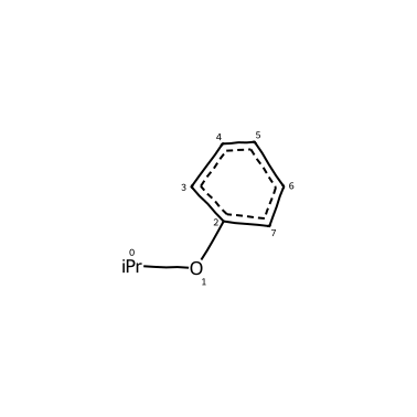 [CH2]C([CH2])Oc1ccccc1